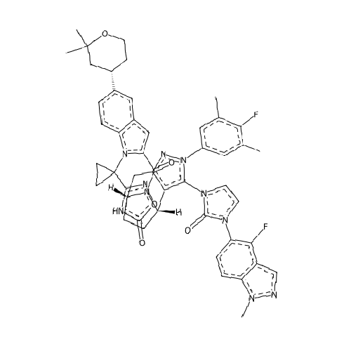 Cc1cc(-n2nc3c(c2-n2ccn(-c4ccc5c(cnn5C)c4F)c2=O)[C@@H]2CC[C@H](C3)N2C(=O)c2cc3cc([C@H]4CCOC(C)(C)C4)ccc3n2C2(c3noc(=O)[nH]3)CC2)cc(C)c1F